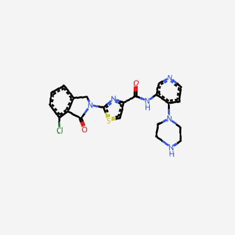 O=C(Nc1cnccc1N1CCNCC1)c1csc(N2Cc3cccc(Cl)c3C2=O)n1